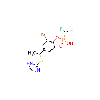 CC(Sc1ncc[nH]1)c1ccc(OP(=O)(O)C(F)F)c(Br)c1